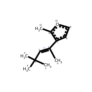 C/C(=C\C(C)(C)C)c1ccoc1C